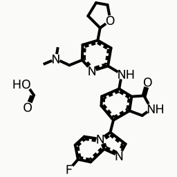 CN(C)Cc1cc(C2CCCO2)cc(Nc2ccc(-c3cnc4cc(F)ccn34)c3c2C(=O)NC3)n1.O=CO